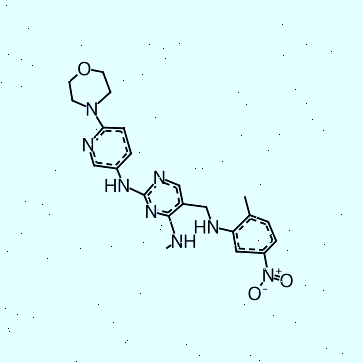 CNc1nc(Nc2ccc(N3CCOCC3)nc2)ncc1CNc1cc([N+](=O)[O-])ccc1C